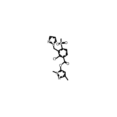 Cc1cc(OC(=O)c2ccc(S(C)(=O)=O)c(Cn3cccn3)c2Cl)n(C)n1